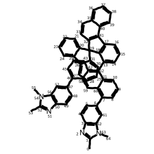 Cc1nc2ccc(-c3cccc4c(-c5cccc6c5C5(c7ccccc7-c7ccccc75)c5ccc7ccccc7c5-6)c5cccc(-c6ccc7nc(C)n(C)c7c6)c5cc34)cc2n1C